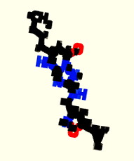 CCCCc1cc(=O)n2nc(NCc3cc(C4CC4)on3)nc2[nH]1